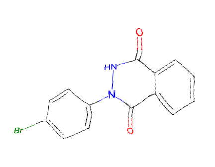 O=c1[nH]n(-c2ccc(Br)cc2)c(=O)c2ccccc12